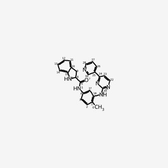 Cc1ccc(NC(=O)C2Cc3ccccc3N2)cc1Nc1nccc(-c2cccnc2)n1